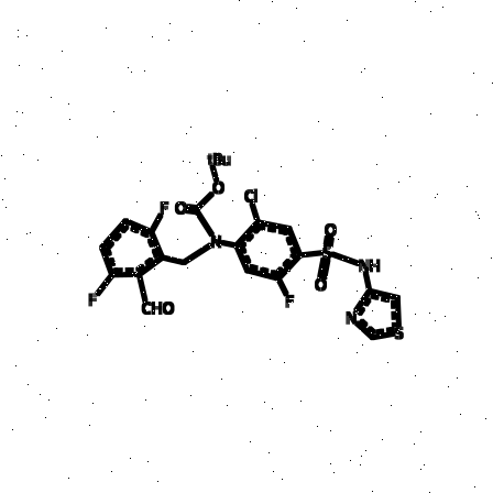 CC(C)(C)OC(=O)N(Cc1c(F)ccc(F)c1C=O)c1cc(F)c(S(=O)(=O)Nc2cscn2)cc1Cl